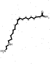 NCCNCCCCCCCC/C=C\CCCCCCCC(N)=O